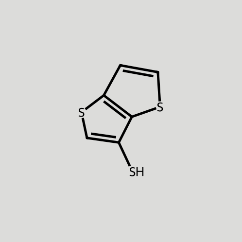 Sc1csc2ccsc12